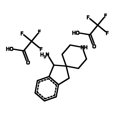 NC1c2ccccc2CC12CCNCC2.O=C(O)C(F)(F)F.O=C(O)C(F)(F)F